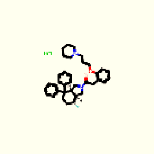 Cl.O=C(Cc1ccccc1OCCCN1CCCCC1)N1C[C@@H]2[C@H](F)CCC(c3ccccc3)(c3ccccc3)[C@@H]2C1